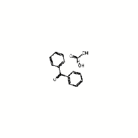 O=C(c1ccccc1)c1ccccc1.O=[PH](O)O